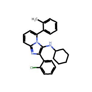 Cc1ccccc1-c1cccc2nc(-c3ccccc3Cl)c(NC3CCCCC3)n12